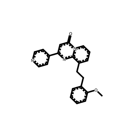 COc1ccccc1CCc1cccn2c(=O)cc(-c3ccncc3)nc12